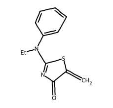 C=C1SC(N(CC)c2ccccc2)=NC1=O